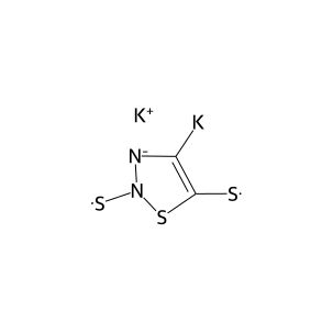 [K+].[S]C1=[C]([K])[N-]N([S])S1